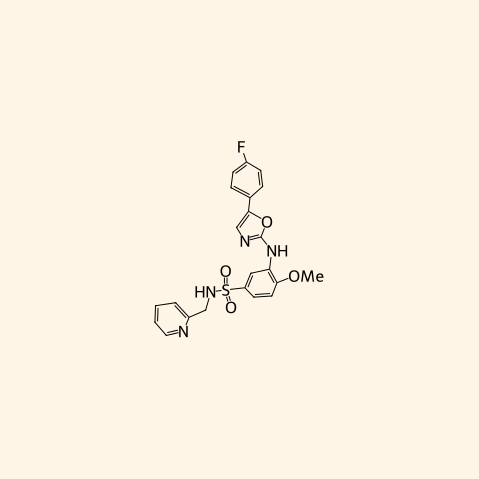 COc1ccc(S(=O)(=O)NCc2ccccn2)cc1Nc1ncc(-c2ccc(F)cc2)o1